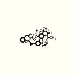 Cc1cc2c(cc1-c1cc(C3CC3C(=O)N3C(=O)OCC3Cc3ccccc3)ccc1OC(F)(F)F)N(C(C)C)C(=O)CC2(C)C